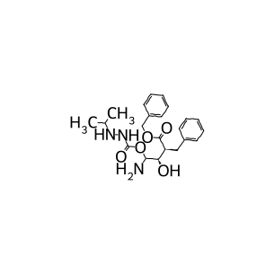 CC(C)NNC(=O)OC(N)[C@H](O)[C@H](Cc1ccccc1)C(=O)OCc1ccccc1